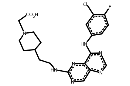 O=C(O)CN1CCC(CCNc2ncc3ncnc(Nc4ccc(F)c(Cl)c4)c3n2)CC1